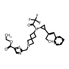 CCOC(=O)c1cnc(CN2CC3(CC(N(C(=O)C(F)(F)F)[C@H]4CC4C(=Cc4ccccc4)CC)C3)C2)s1